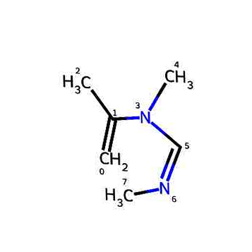 C=C(C)N(C)/C=N\C